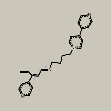 C=C/C(=C\C=N\CCCC[n+]1ccc(-c2ccncc2)cc1)c1ccncc1